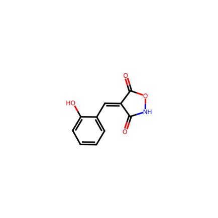 O=C1NOC(=O)C1=Cc1ccccc1O